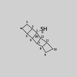 S[C@@]12C3CCC3C1C1C3CCC3C12